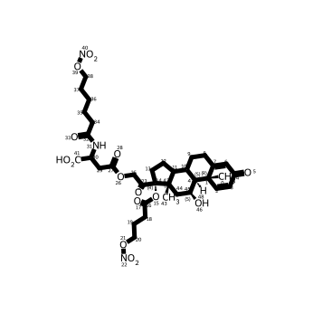 C[C@]12C=CC(=O)C=C1CCC1C3CC[C@](OC(=O)CCCO[N+](=O)[O-])(C(=O)COC(=O)CC(NC(=O)CCCCCO[N+](=O)[O-])C(=O)O)[C@@]3(C)C[C@H](O)[C@@H]12